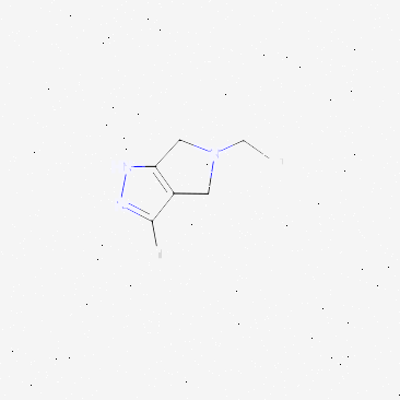 CC(C)CN1Cc2[nH]nc(C(C)C)c2C1